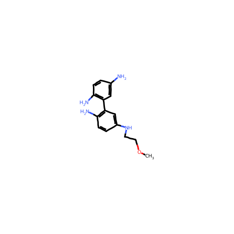 COCCNc1ccc(N)c(-c2cc(N)ccc2N)c1